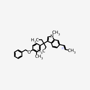 C/C=C/c1ccc2c(C(CC)(CC)c3ccc(OCc4ccccc4)c(C)c3)cn(C)c2c1